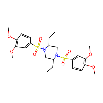 CCC1CN(S(=O)(=O)c2ccc(OC)c(OC)c2)C(CC)CN1S(=O)(=O)c1ccc(OC)c(OC)c1